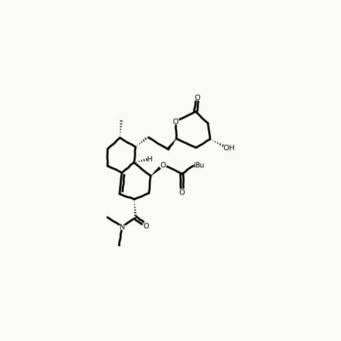 CCC(C)C(=O)O[C@H]1C[C@H](C(=O)N(C)C)C=C2CC[C@H](C)[C@H](CC[C@@H]3C[C@@H](O)CC(=O)O3)[C@H]21